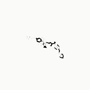 COc1cc(C)c(S(=O)(=O)N(Cc2cc(C(=O)N3CCN(CCN4CCCCC4)CC3)co2)C2CC2)c(C)c1